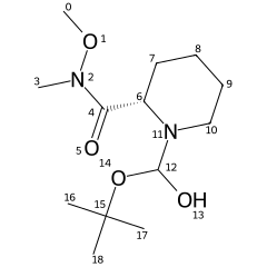 CON(C)C(=O)[C@@H]1CCCCN1C(O)OC(C)(C)C